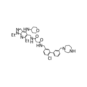 CCc1nc2c(cnn2CC)c(NC2CCOCC2)c1CNC(=O)CC(=O)NCc1ccc(Cl)c(-c2cccc(CN3CCCNCC3)c2)c1